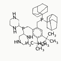 CC(C)(C)c1cc(CP(C2CNCCN2)C2CNCCN2)c(CP(C23CC4CC(CC(C4)C2)C3)C23CC4CC(CC(C4)C2)C3)cc1C(C)(C)C